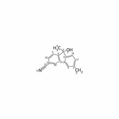 Cc1ccc(C(C)(O)c2ccc(C#N)cc2)cc1